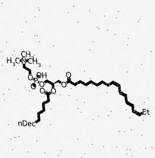 CC\C=C/C=C/C=C/C=C\CCCCCCCC(=O)OC[C@H](COP(=O)(O)OCC[N+](C)(C)C)OC(=O)CCCCCCCCCCCCCCC